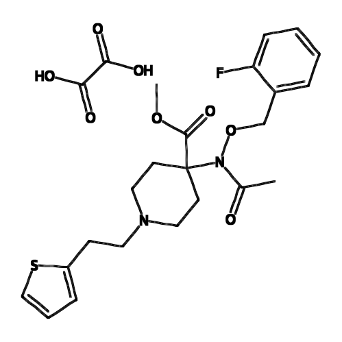 COC(=O)C1(N(OCc2ccccc2F)C(C)=O)CCN(CCc2cccs2)CC1.O=C(O)C(=O)O